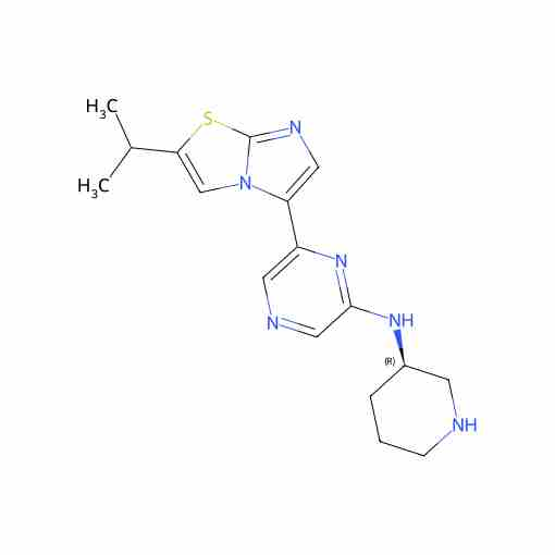 CC(C)c1cn2c(-c3cncc(N[C@@H]4CCCNC4)n3)cnc2s1